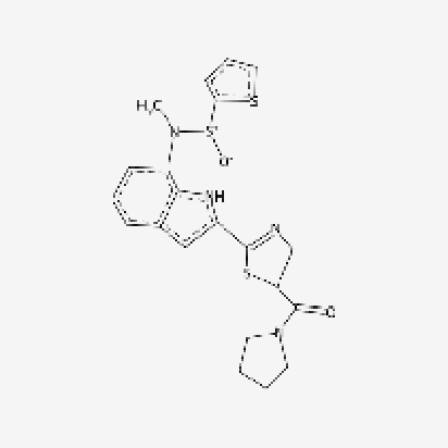 CN(c1cccc2cc(C3=NCC(C(=O)N4CCCC4)S3)[nH]c12)[S+]([O-])c1cccs1